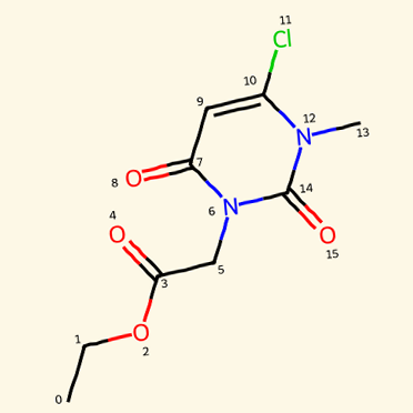 CCOC(=O)Cn1c(=O)cc(Cl)n(C)c1=O